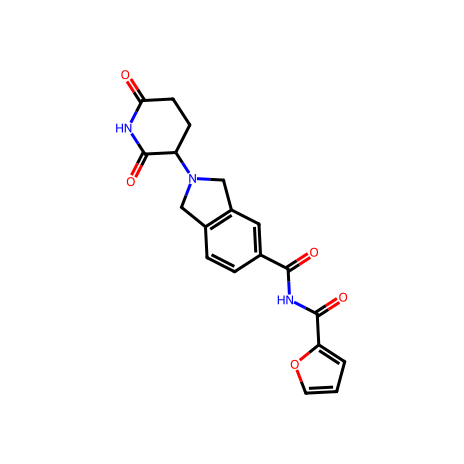 O=C1CCC(N2Cc3ccc(C(=O)NC(=O)c4ccco4)cc3C2)C(=O)N1